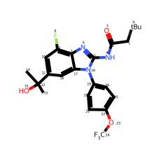 CC(C)(C)CC(=O)Nc1nc2c(F)cc(C(C)(C)O)cc2n1-c1ccc(OC(F)(F)F)cc1